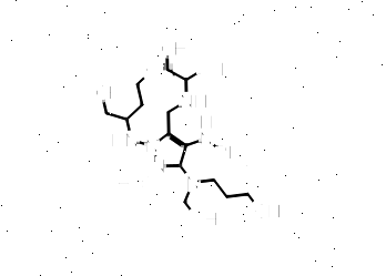 CCCCN(CC)C1C(NP)=C(CNC(C)CC)N(NC(CC)CCO)N1C